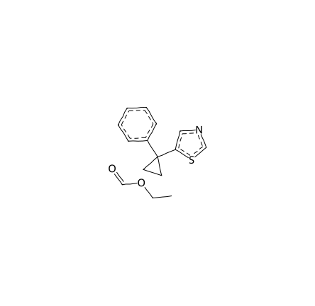 CCOC=O.c1ccc(C2(c3cncs3)CC2)cc1